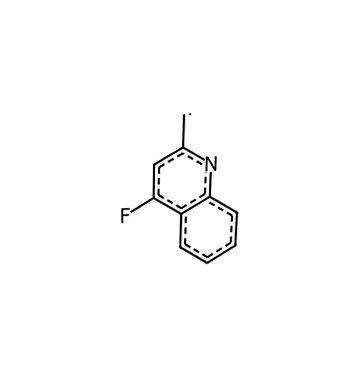 [CH2]c1cc(F)c2ccccc2n1